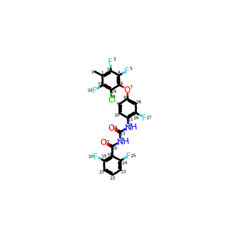 Cc1c(F)c(F)c(Oc2ccc(NC(=O)NC(=O)c3c(F)cccc3F)c(F)c2)c(Cl)c1F